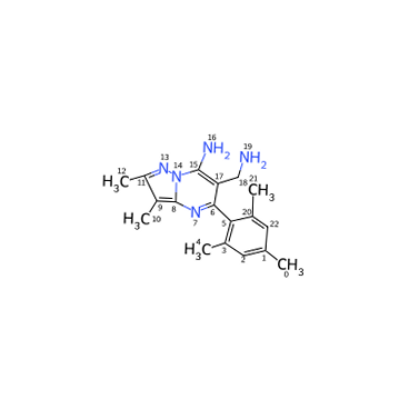 Cc1cc(C)c(-c2nc3c(C)c(C)nn3c(N)c2CN)c(C)c1